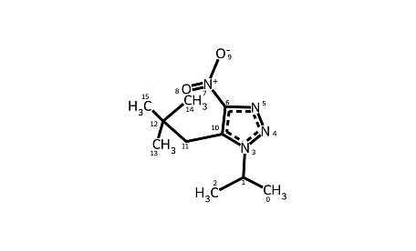 CC(C)n1nnc([N+](=O)[O-])c1CC(C)(C)C